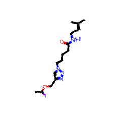 CC(C)CCNC(=O)CCCCn1cc(COC(C)I)nn1